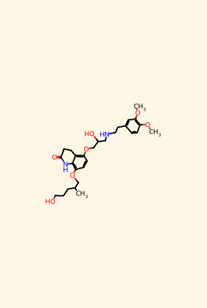 COc1ccc(CCNCC(O)COc2ccc(OCC(C)CCCO)c3c2CCC(=O)N3)cc1OC